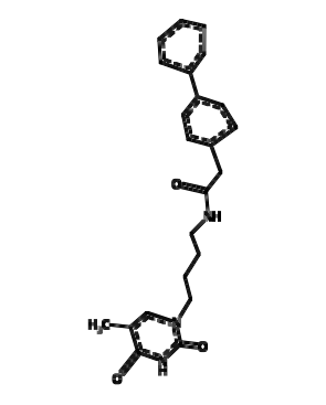 Cc1cn(CCCCNC(=O)Cc2ccc(-c3ccccc3)cc2)c(=O)[nH]c1=O